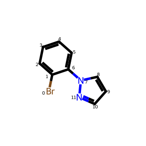 Brc1cc[c]cc1-n1cccn1